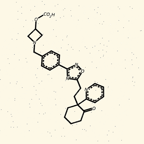 O=C(O)OC1CN(Cc2ccc(-c3noc(CCC4(c5ccccn5)CCCCC4=O)n3)cc2)C1